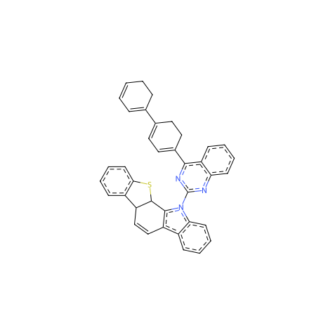 C1=CCCC(C2=CC=C(c3nc(-n4c5c(c6ccccc64)C=CC4c6ccccc6SC54)nc4ccccc34)CC2)=C1